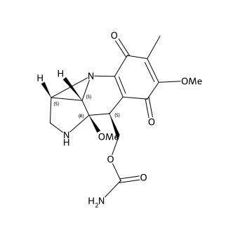 COC1=C(C)C(=O)C2=C(C1=O)[C@@H](COC(N)=O)[C@]1(OC)NC[C@H]3[C@@H]1N23